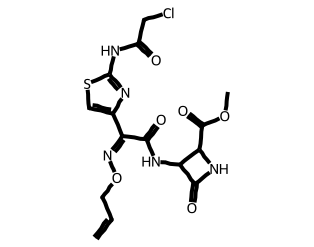 C=CCO/N=C(\C(=O)NC1C(=O)NC1C(=O)OC)c1csc(NC(=O)CCl)n1